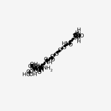 Nc1nc(=O)n([C@@H]2O[C@H](COP(=O)(O)O)C(OP(=O)(O)O)C2O)cc1CCCNC(=O)CCC(=O)OCCOCCOCCOCCNC(=O)CCCC[C@@H]1SC[C@@H]2NC(=O)N[C@@H]21